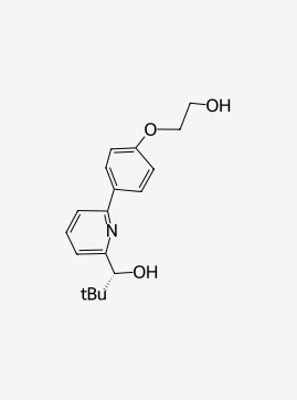 CC(C)(C)[C@@H](O)c1cccc(-c2ccc(OCCO)cc2)n1